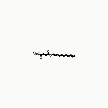 C/C=C/CCCCCC/C=C/OC(=O)CCC(=O)OC